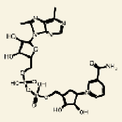 Cc1ncnc2c1nc(C)n2C1OC(COP(=O)(O)OP(=O)(O)OCC2CC([n+]3cccc(C(N)=O)c3)C(O)C2O)C(O)C1O